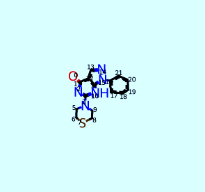 O=c1nc(N2CCSCC2)[nH]c2c1cnn2-c1ccccc1